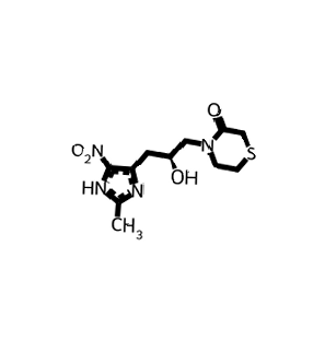 Cc1nc(C[C@H](O)CN2CCSCC2=O)c([N+](=O)[O-])[nH]1